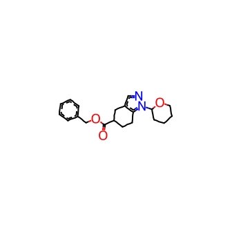 O=C(OCc1ccccc1)C1CCc2c(cnn2C2CCCCO2)C1